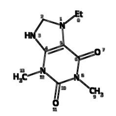 CCN1CNc2c1c(=O)n(C)c(=O)n2C